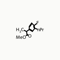 CCCc1cc(C(C)C(=O)OC)ccc1F